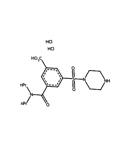 CCCN(CCC)C(=O)c1cc(C(=O)O)cc(S(=O)(=O)N2CCNCC2)c1.Cl.Cl